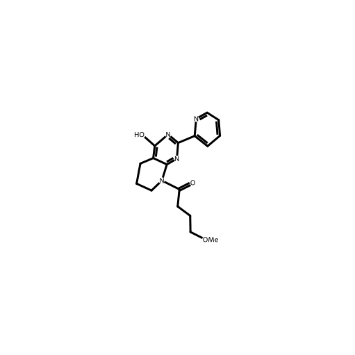 COCCCC(=O)N1CCCc2c(O)nc(-c3ccccn3)nc21